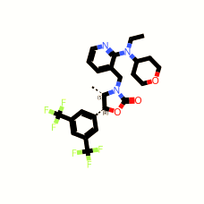 CCN(c1ncccc1CN1C(=O)O[C@H](c2cc(C(F)(F)F)cc(C(F)(F)F)c2)[C@@H]1C)C1CCOCC1